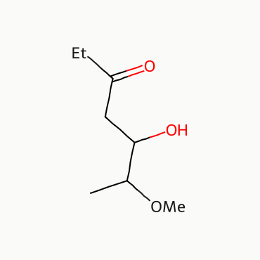 CCC(=O)CC(O)C(C)OC